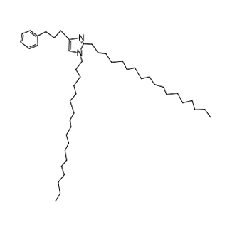 CCCCCCCCCCCCCCCCCCc1nc(CCCc2ccccc2)cn1CCCCCCCCCCCCCCCCCC